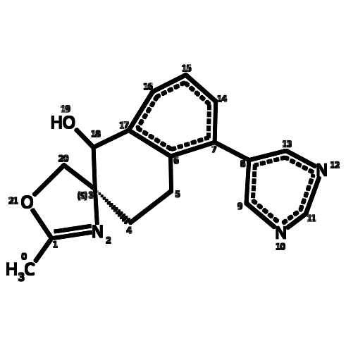 CC1=N[C@@]2(CCc3c(-c4cncnc4)cccc3C2O)CO1